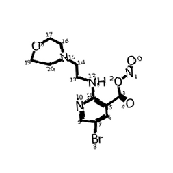 O=NOC(=O)c1cc(Br)cnc1NCCN1CCOCC1